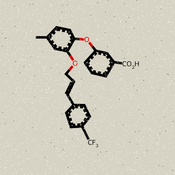 Cc1ccc(Oc2cccc(C(=O)O)c2)c(OC/C=C/c2ccc(C(F)(F)F)cc2)c1